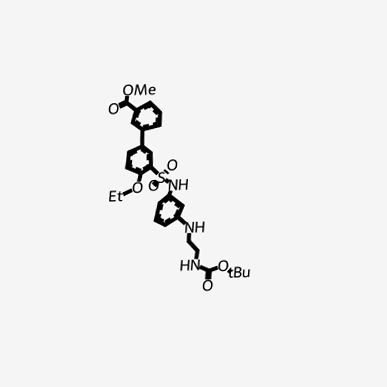 CCOc1ccc(-c2cccc(C(=O)OC)c2)cc1S(=O)(=O)Nc1cccc(NCCNC(=O)OC(C)(C)C)c1